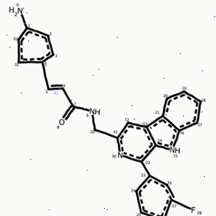 Nc1ccc(/C=C/C(=O)NCc2cc3c([nH]c4ccccc43)c(-c3cccc(F)c3)n2)cc1